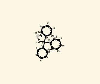 CCCSC(c1ccccc1)(c1ccccc1)c1ccccc1F